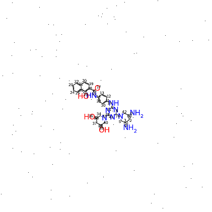 N[C@@H]1C[C@H](N)CN(c2nc(Nc3ccc(NC(=O)c4ccc5ccccc5c4O)cc3)nc(N3C[C@H](O)C[C@H](O)C3)n2)C1